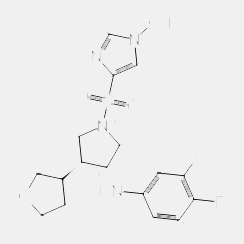 Cn1cnc(S(=O)(=O)N2C[C@H](Nc3ccc(F)c(Cl)c3)[C@@H](C3CCOC3)C2)c1